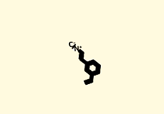 [C-]#[N+]/C=C/c1cccc(C=C)c1